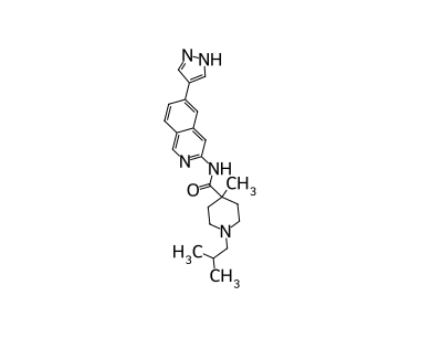 CC(C)CN1CCC(C)(C(=O)Nc2cc3cc(-c4cn[nH]c4)ccc3cn2)CC1